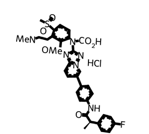 CNCCc1c(S(C)(=O)=O)ccc(N(C(=O)O)c2nc3ccc(-c4ccc(NC(=O)[C@H](C)c5ccc(F)cc5)cc4)cn3n2)c1OC.Cl